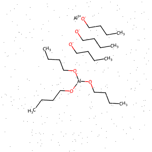 CCCC[O-].CCCC[O-].CCCC[O-].CCCC[O][Al]([O]CCCC)[O]CCCC.[Al+3]